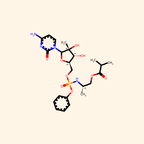 CC(C)C(=O)OC[C@H](C)NP(=O)(OC[C@H]1OC(n2ccc(N)nc2=O)[C@](C)(O)[C@@H]1O)Oc1ccccc1